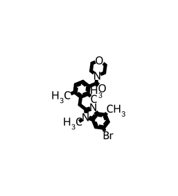 Cc1ccc(C(=O)N2CCOCC2)c(C)c1Cc1nc2c(C)cc(Br)cc2n1C